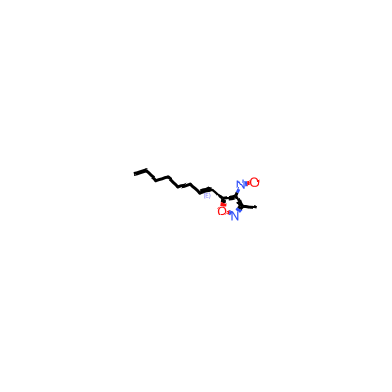 CCCCCC/C=C/c1onc(C)c1N=O